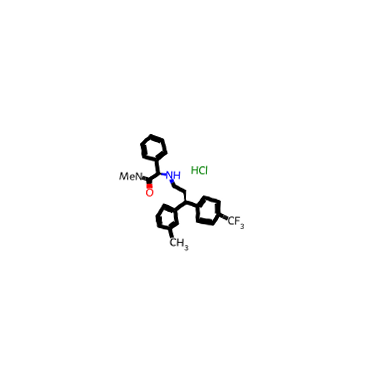 CNC(=O)[C@H](NCC[C@@H](c1ccc(C(F)(F)F)cc1)c1cccc(C)c1)c1ccccc1.Cl